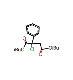 CC(C)COC(=O)CC(Cl)(C(=O)OCC(C)C)c1ccccc1